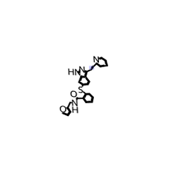 O=C(NCc1ccco1)c1ccccc1Sc1ccc2c(/C=C/c3ccccn3)n[nH]c2c1